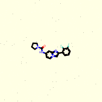 O=C(Nc1ccn2cc(-c3cccc(F)c3F)nc2c1)N1CCCC1